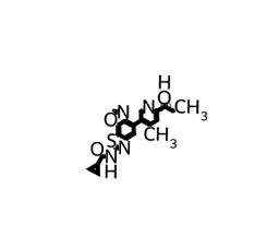 CC[C@@H](O)c1cc(C)c(-c2cc3nc(NC(=O)C4CC4)sc3c3ocnc23)cn1